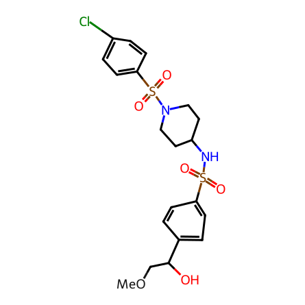 COCC(O)c1ccc(S(=O)(=O)NC2CCN(S(=O)(=O)c3ccc(Cl)cc3)CC2)cc1